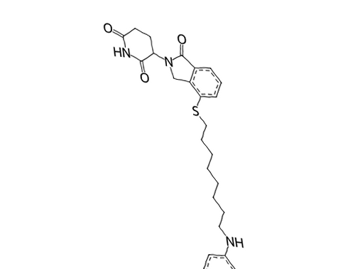 O=C1CCC(N2Cc3c(SCCCCCCCCNc4ccncc4)cccc3C2=O)C(=O)N1